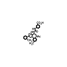 CC(=O)N1CC(NC(=O)Nc2cccc(C(=O)O)c2)C(=O)N(CC(=O)c2ccccc2C)c2cc(C)ccc21